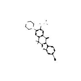 CN(C)[S+]([O-])c1cc2c(cc1N1CCNCC1)C(C)(C)c1[nH]c3cc(C#N)ccc3c1C2=O